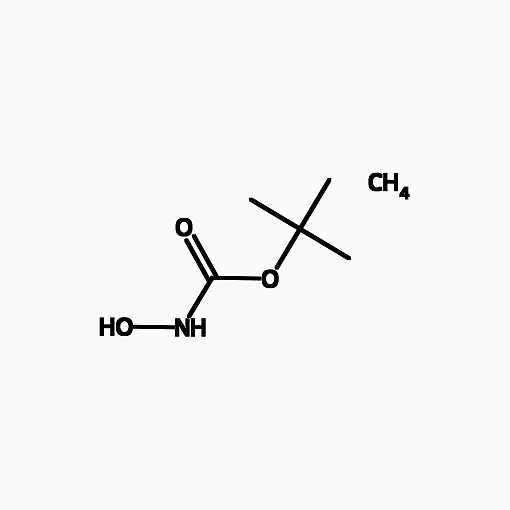 C.CC(C)(C)OC(=O)NO